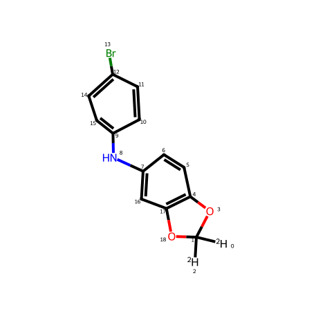 [2H]C1([2H])Oc2ccc(Nc3ccc(Br)cc3)cc2O1